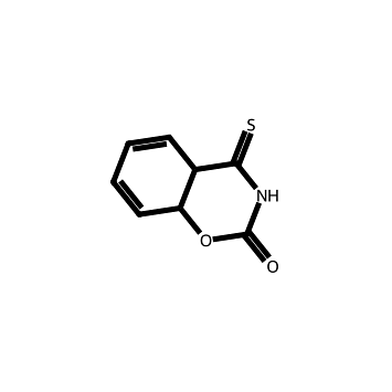 O=C1NC(=S)C2C=CC=CC2O1